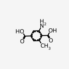 Cc1cc(C(=O)O)cc(N)c1C(=O)O